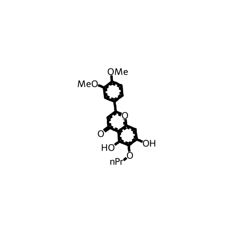 CCCOc1c(O)cc2oc(-c3ccc(OC)c(OC)c3)cc(=O)c2c1O